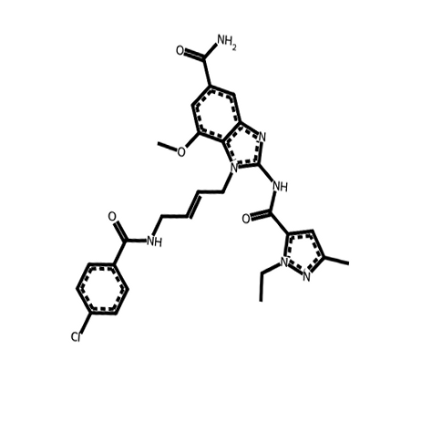 CCn1nc(C)cc1C(=O)Nc1nc2cc(C(N)=O)cc(OC)c2n1CC=CCNC(=O)c1ccc(Cl)cc1